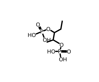 CCC(OP(=O)(O)O)C(C)OP(=O)(O)O